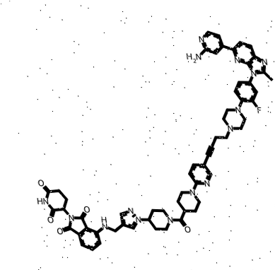 Cc1nc2ccc(-c3ccnc(N)c3)nc2n1-c1ccc(N2CCN(CCC#Cc3ccc(N4CCC(C(=O)N5CCC(n6cc(CNc7cccc8c7C(=O)N(C7CCC(=O)NC7=O)C8=O)cn6)CC5)CC4)nc3)CC2)c(F)c1